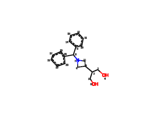 OCC(CO)C1CN(C(c2ccccc2)c2ccccc2)C1